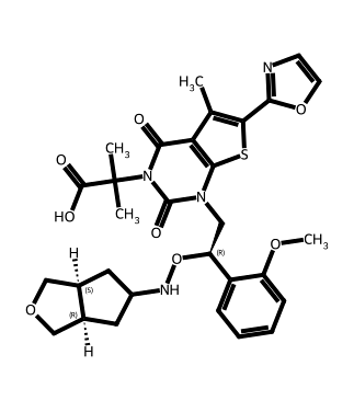 COc1ccccc1[C@H](Cn1c(=O)n(C(C)(C)C(=O)O)c(=O)c2c(C)c(-c3ncco3)sc21)ONC1C[C@H]2COC[C@H]2C1